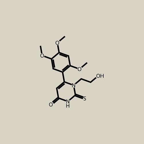 COc1cc(OC)c(-c2cc(=O)[nH]c(=S)n2CCO)cc1OC